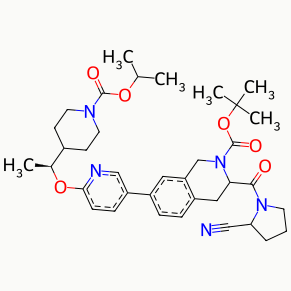 CC(C)OC(=O)N1CCC([C@H](C)Oc2ccc(-c3ccc4c(c3)CN(C(=O)OC(C)(C)C)C(C(=O)N3CCCC3C#N)C4)cn2)CC1